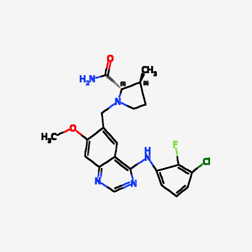 COc1cc2ncnc(Nc3cccc(Cl)c3F)c2cc1CN1CC[C@H](C)[C@H]1C(N)=O